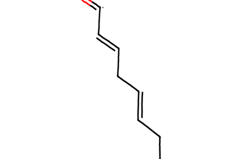 CC/C=C/C/C=C/[C]=O